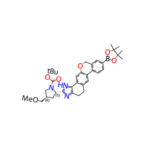 COC[C@@H]1C[C@@H](c2nc3c([nH]2)-c2cc4c(cc2CC3)-c2ccc(B3OC(C)(C)C(C)(C)O3)cc2CO4)N(C(=O)OC(C)(C)C)C1